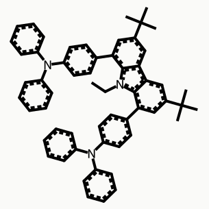 CCn1c2c(-c3ccc(N(c4ccccc4)c4ccccc4)cc3)cc(C(C)(C)C)cc2c2cc(C(C)(C)C)cc(-c3ccc(N(c4ccccc4)c4ccccc4)cc3)c21